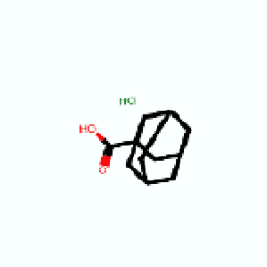 Cl.O=C(O)C12CC3CC(CC(C3)C1)C2